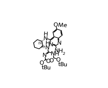 COc1ccc2nc(N)nc(N[C@H]3CCCC[C@H]3NC(=NC(=O)OC(C)(C)C)NC(=O)OC(C)(C)C)c2c1